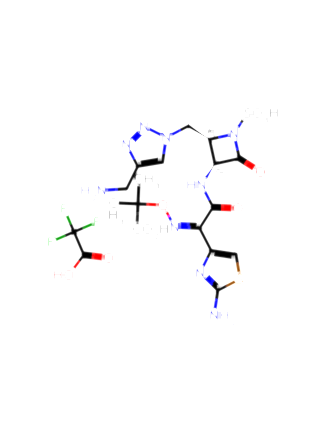 CC(C)(ON=C(C(=O)N[C@@H]1C(=O)N(S(=O)(=O)O)[C@@H]1Cn1cc(CN)nn1)c1csc(N)n1)C(=O)O.O=C(O)C(F)(F)F